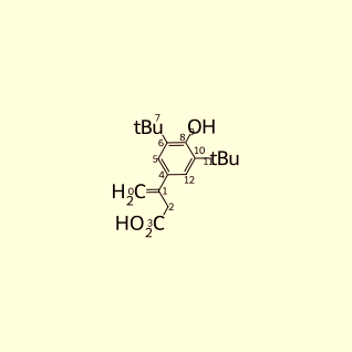 C=C(CC(=O)O)c1cc(C(C)(C)C)c(O)c(C(C)(C)C)c1